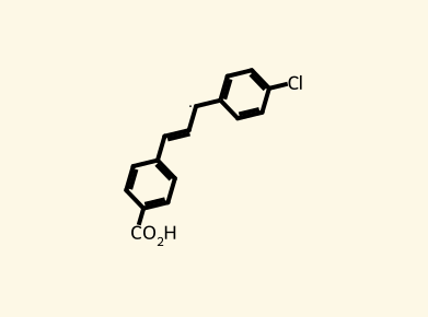 O=C(O)c1ccc(/C=C/[CH]c2ccc(Cl)cc2)cc1